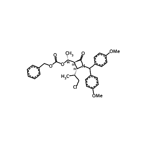 COc1ccc(C(c2ccc(OC)cc2)N2C(=O)[C@H]([C@@H](C)OC(=O)OCc3ccccc3)[C@H]2C(C)CCl)cc1